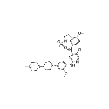 COc1cc(N2CCC(N3CCN(C)CC3)CC2)ccc1Nc1ncc(Cl)c(Nc2ccc(OC)c3c2N(S(C)(=O)=O)CC3)n1